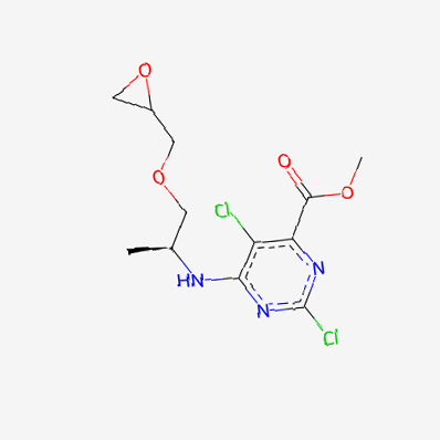 COC(=O)c1nc(Cl)nc(N[C@@H](C)COCC2CO2)c1Cl